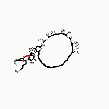 C[C@@H]1[C@H](O)[C@@H](C)/C=C/C=C/C=C/C=C/C=C/C=C/C=C/[C@H](O[C@@H]2O[C@H](C)[C@@H](O)[C@H](N(CCCN)CCCN)[C@@H]2O)C[C@@H]2O[C@](O)(C[C@@H](O)C[C@@H](O)[C@H](O)CC[C@@H](O)C[C@@H](O)CC(=O)O[C@H]1C)C[C@H](O)[C@H]2NC(=O)NC[C@H](O)CO